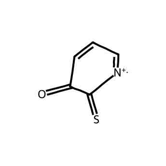 O=C1C=CC=[N+]C1=S